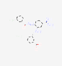 COC(=O)c1cccc(CNc2cc(C(=N)N)ccc2CNC(=O)c2cccc(Cl)c2)c1.Cl